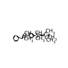 C[CH2][Ge]([C]#C[Si](C)(C)c1ccc([Si](C)(C)C=Cc2ccccc2)cc1)([CH2]C)[CH2]C